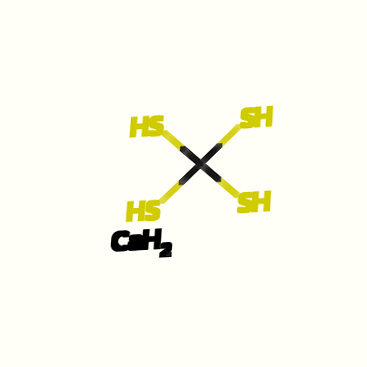 SC(S)(S)S.[CaH2]